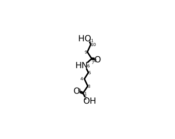 O=C(O)CCCNC(=O)CCO